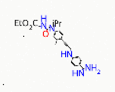 CCOC(=O)CNC(=O)N(c1ccc(C#CCNc2ccc(C(=N)N)cc2)c(C)c1)C(C)C